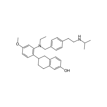 CCN(Cc1ccc(CCNC(C)C)cc1)c1cc(OC)ccc1C1CCc2cc(O)ccc2C1